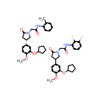 COc1ccc(C2CC(=O)N(CC(=O)Nc3cccc(F)c3F)C2)cc1OC1CCCC1.COc1ccc([C@@H]2CC(=O)N(CC(=O)Nc3ccccc3C)C2)cc1OC1CCCC1